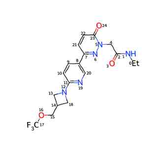 CCNC(=O)Cn1nc(-c2ccc(N3CC(COC(F)(F)F)C3)nc2)ccc1=O